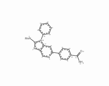 CNc1nc2cnc(-c3ccc(C(N)=O)cc3)cc2n1-c1ccccc1